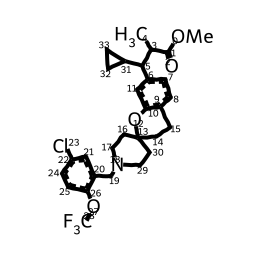 COC(=O)C(C)C(c1ccc2c(c1)OC1(CC2)CCN(Cc2cc(Cl)ccc2OC(F)(F)F)CC1)C1CC1